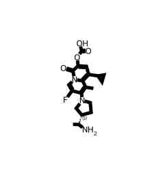 Cc1c(N2CC[C@H](C(C)N)C2)c(F)cn2c(=O)c(OC(=O)O)cc(C3CC3)c12